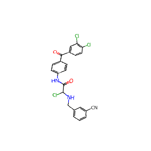 N#Cc1cccc(CNC(Cl)C(=O)Nc2ccc(C(=O)c3ccc(Cl)c(Cl)c3)cc2)c1